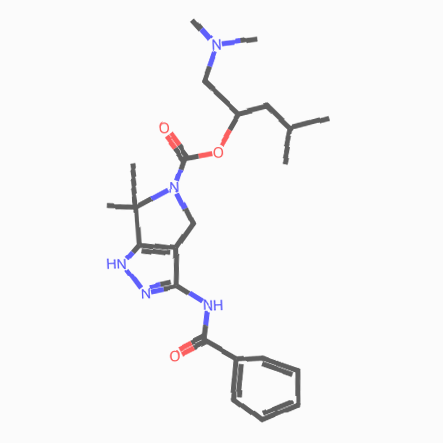 CC(C)CC(CN(C)C)OC(=O)N1Cc2c(NC(=O)c3ccccc3)n[nH]c2C1(C)C